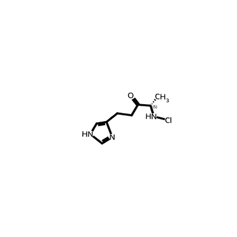 C[C@H](NCl)C(=O)CCc1c[nH]cn1